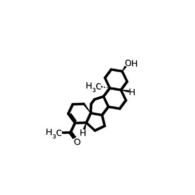 CC(=O)C1=CCC[C@@]23CCC4C(CC[C@H]5C[C@H](O)CC[C@]45C)C2CC[C@H]13